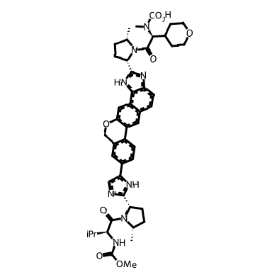 COC(=O)N[C@H](C(=O)N1[C@@H](C)CC[C@H]1c1ncc(-c2ccc3c(c2)COc2cc4c(ccc5nc([C@@H]6CC[C@H](C)N6C(=O)[C@H](C6CCOCC6)N(C)C(=O)O)[nH]c54)cc2-3)[nH]1)C(C)C